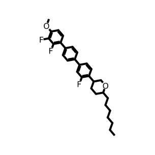 CCCCCCCC1CCC(c2ccc(-c3ccc(-c4ccc(OC)c(F)c4F)cc3)cc2F)CO1